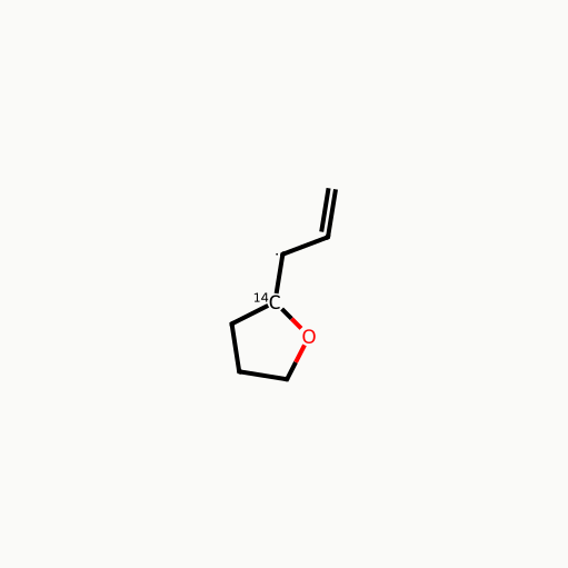 C=C[CH][14CH]1CCCO1